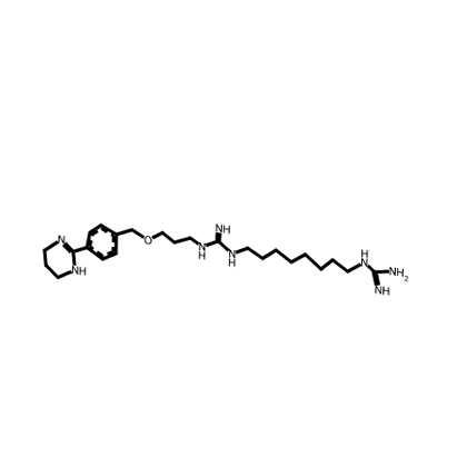 N=C(N)NCCCCCCCCNC(=N)NCCCOCc1ccc(C2=NCCCN2)cc1